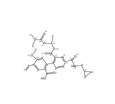 C=Cc1cc(C(=O)O)c(-c2ccc(C(=O)NCC3CC3)nc2C(=O)OC(C)OC(=O)C(C)C)cc1OC